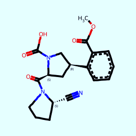 COC(=O)c1ccccc1[C@H]1C[C@@H](C(=O)N2CCC[C@H]2C#N)N(C(=O)O)C1